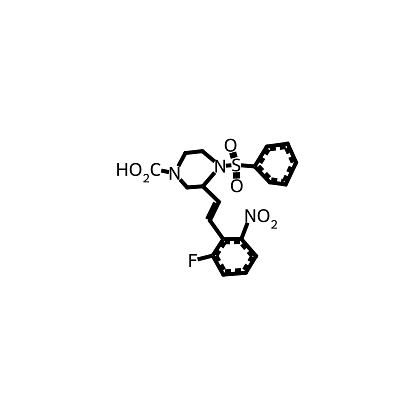 O=C(O)N1CCN(S(=O)(=O)c2ccccc2)C(C=Cc2c(F)cccc2[N+](=O)[O-])C1